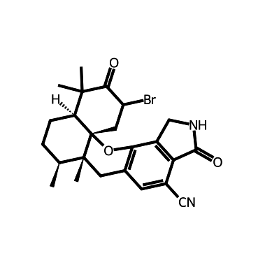 C[C@H]1CC[C@H]2C(C)(C)C(=O)C(Br)C[C@]23Oc2c(cc(C#N)c4c2CNC4=O)C[C@]13C